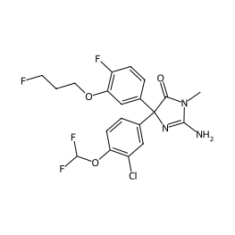 CN1C(=O)C(c2ccc(OC(F)F)c(Cl)c2)(c2ccc(F)c(OCCCF)c2)N=C1N